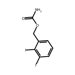 NC(=O)OCc1cccc(I)c1I